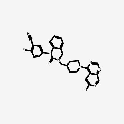 N#Cc1cc(N2C(=O)N(CC3CCN(c4ncnc5cnc(Cl)cc45)CC3)Cc3ccccc32)ccc1F